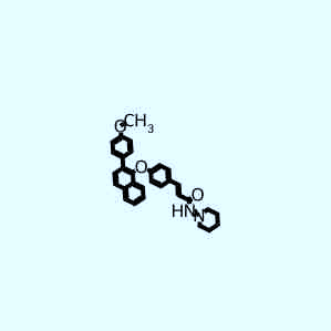 COc1ccc(-c2ccc3ccccc3c2Oc2ccc(C=CC(=O)NN3CCCCC3)cc2)cc1